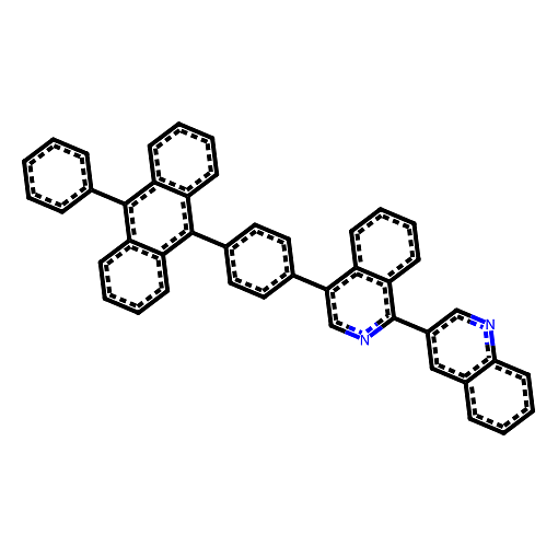 c1ccc(-c2c3ccccc3c(-c3ccc(-c4cnc(-c5cnc6ccccc6c5)c5ccccc45)cc3)c3ccccc23)cc1